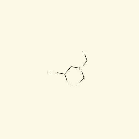 CCN(CC)CC(C)I